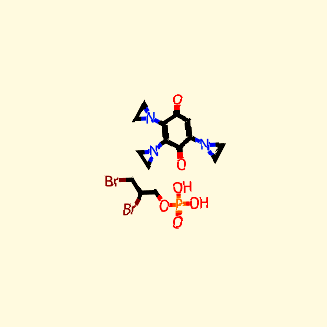 O=C1C=C(N2CC2)C(=O)C(N2CC2)=C1N1CC1.O=P(O)(O)OCC(Br)CBr